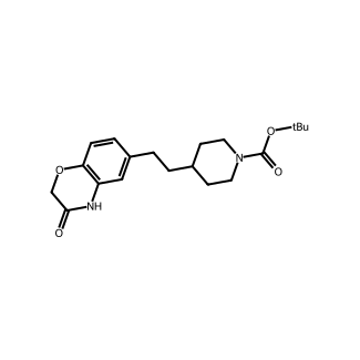 CC(C)(C)OC(=O)N1CCC(CCc2ccc3c(c2)NC(=O)CO3)CC1